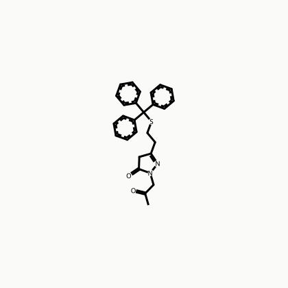 CC(=O)CN1N=C(CCSC(c2ccccc2)(c2ccccc2)c2ccccc2)CC1=O